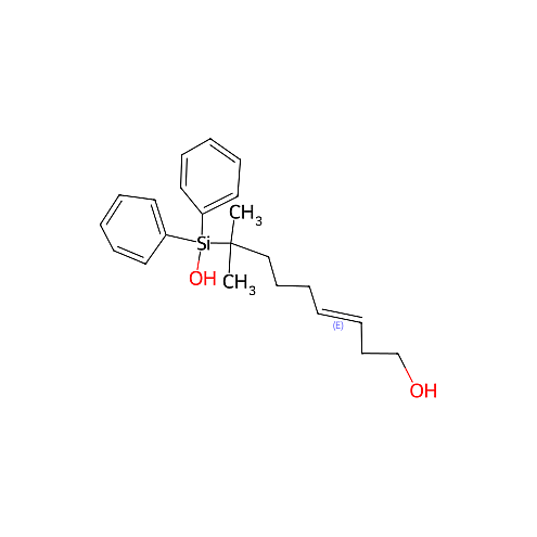 CC(C)(CCC/C=C/CCO)[Si](O)(c1ccccc1)c1ccccc1